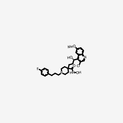 COc1ccc2ncc(Cl)c([C@H](O)CCC3(C(=O)NO)CCN(CCCc4ccc(F)cc4)CC3)c2c1